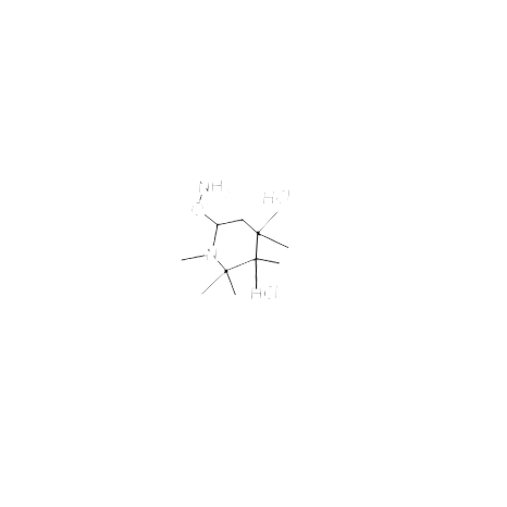 CN1C(ON)CC(C)(C)C(C)(C)C1(C)C.Cl.Cl